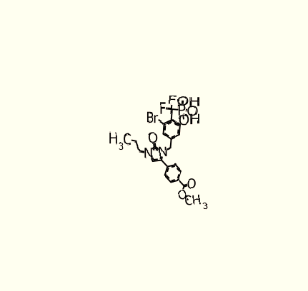 CCCn1cc(-c2ccc(C(=O)OC)cc2)n(Cc2ccc(C(F)(F)P(=O)(O)O)c(Br)c2)c1=O